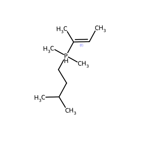 C/C=C(\C)[PH](C)(C)CCC(C)C